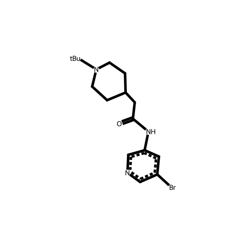 CC(C)(C)N1CCC(CC(=O)Nc2cncc(Br)c2)CC1